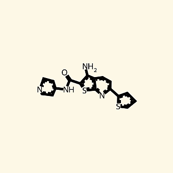 Nc1c(C(=O)Nc2ccncc2)sc2nc(-c3cccs3)ccc12